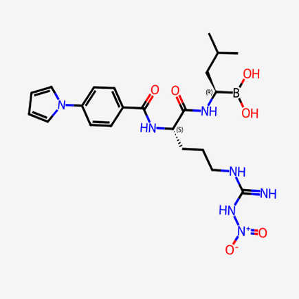 CC(C)C[C@H](NC(=O)[C@H](CCCNC(=N)N[N+](=O)[O-])NC(=O)c1ccc(-n2cccc2)cc1)B(O)O